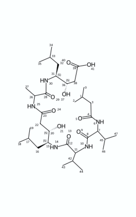 CC(C)CC(=O)NC(C(=O)NC(C(=O)N[C@@H](CC(C)C)[C@@H](O)CC(=O)NC(C)C(=O)N[C@@H](CC(C)C)[C@@H](O)CC(=O)O)C(C)C)C(C)C